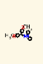 COc1ccc(C(=C/C=N/N(c2ccccc2)c2ccccc2)c2ccc(OC)cc2)cc1